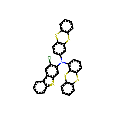 Clc1cc2c(cc1N(c1ccc3c(c1)Sc1ccccc1S3)c1cccc3c1Sc1ccccc1S3)sc1ccccc12